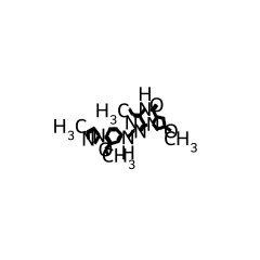 CCc1nc(Nc2ccc(-n3cnc(C)c3)c(OC)c2)nc2c1NC(=O)C1CC(OC)CN21